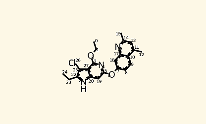 CCOc1nc(Oc2ccc3c(C)cc(C)nc3c2)cc2[nH]c(CC)c(Cl)c12